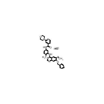 COc1cc2c(Nc3cc(NC(=O)c4ccnc(N5CCOCC5)c4)ccc3C)ncnc2cc1OCc1ccccc1.Cl.Cl